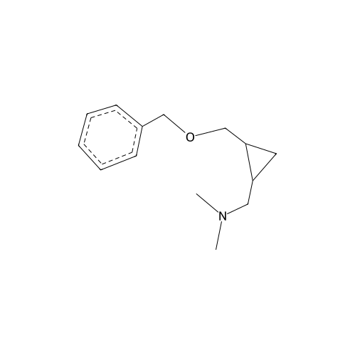 CN(C)CC1CC1COCc1ccccc1